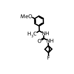 COc1cccc(C(C)NC(=O)NC23CC(F)(C2)C3)c1